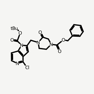 CC(C)(C)OC(=O)n1c(CN2CCN(C(=O)OCc3ccccc3)CC2=O)cc2c(Cl)nccc21